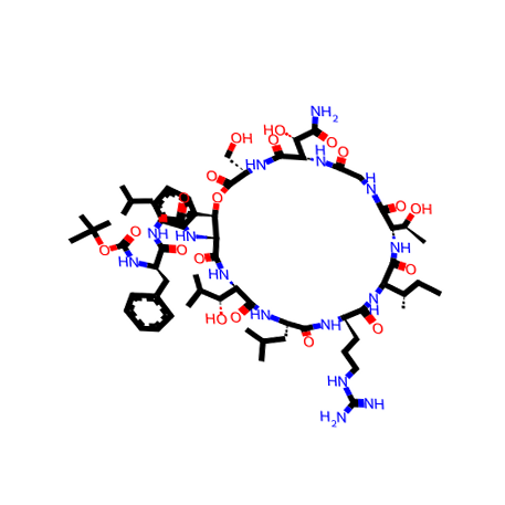 CC[C@H](C)C1NC(=O)[C@@H](CCCNC(=N)N)NC(=O)[C@H](CC(C)C)NC(=O)[C@H]([C@H](O)C(C)C)NC(=O)[C@@H](NC(=O)[C@H](CC(C)C)NC(=O)[C@@H](Cc2ccccc2)NC(=O)OC(C)(C)C)[C@@H](c2ccccc2)OC(=O)[C@H](CO)NC(=O)[C@H]([C@H](O)C(N)=O)NC(=O)CNC(=O)[C@H]([C@H](C)O)NC1=O